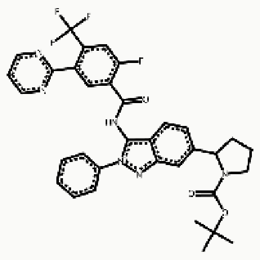 CC(C)(C)OC(=O)N1CCCC1c1ccc2c(NC(=O)c3cc(-c4ncccn4)c(C(F)(F)F)cc3F)n(-c3ccccc3)nc2c1